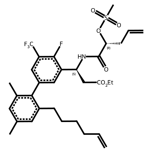 C=CCCCCc1cc(C)cc(C)c1-c1cc([C@H](CC(=O)OCC)NC(=O)[C@@H](CC=C)OS(C)(=O)=O)c(F)c(C(F)(F)F)c1